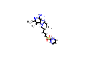 CCc1nc2c(N)nc(C)c(C)c2n1CCCCCS(=O)(=O)c1ncccn1